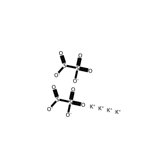 O=S([O-])S(=O)(=O)[O-].O=S([O-])S(=O)(=O)[O-].[K+].[K+].[K+].[K+]